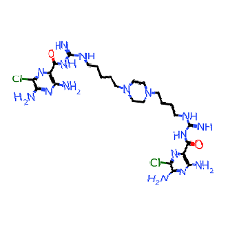 N=C(NCCCCCN1CCN(CCCCNC(=N)NC(=O)c2nc(Cl)c(N)nc2N)CC1)NC(=O)c1nc(Cl)c(N)nc1N